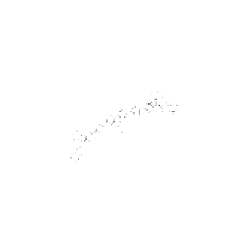 c1ccc2cc(-n3c4ccccc4c4cc(-c5ccc(-c6ccc7c(c6)C6(CCCC6)c6cc(-c8ccc(-c9ccc%10c(c9)c9ccccc9n%10-c9ccc%10ccccc%10c9)cc8)ccc6-7)cc5)ccc43)ccc2c1